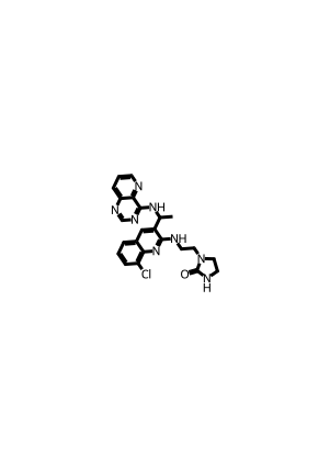 CC(Nc1ncnc2cccnc12)c1cc2cccc(Cl)c2nc1NCCN1CCNC1=O